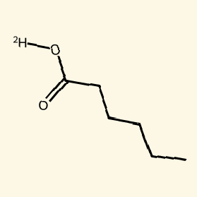 [2H]OC(=O)CCCCC